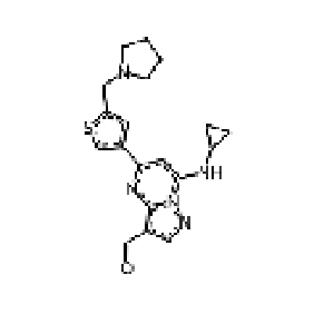 O=Cc1cnn2c(NC3CC3)cc(-c3csc(CN4CCCC4)c3)nc12